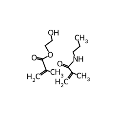 C=C(C)C(=O)NCCC.C=C(C)C(=O)OCCO